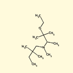 CCOC(C)(C)C(C)N(C)CC(C)(C)CC